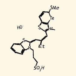 CCC(=Cc1sc2c([n+]1C)[Te]C(SC)C=C2)C=C1Sc2ccccc2N1CCCS(=O)(=O)O.[OH-]